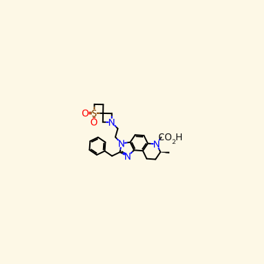 C[C@H]1CCc2c(ccc3c2nc(Cc2ccccc2)n3CCN2CC3(CCS3(=O)=O)C2)N1C(=O)O